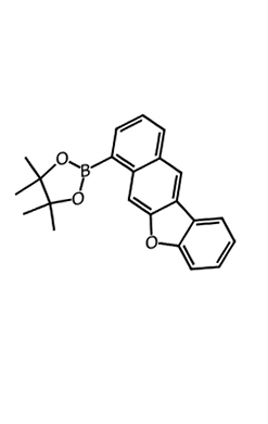 CC1(C)OB(c2cccc3cc4c(cc23)oc2ccccc24)OC1(C)C